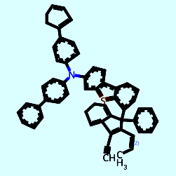 C#CC1=C(/C=C\C)C(c2ccccc2)(c2cccc3c2sc2cc(N(c4ccc(C5=CC=CCC5)cc4)c4ccc(-c5ccccc5)cc4)ccc23)C2=CCCC=C21